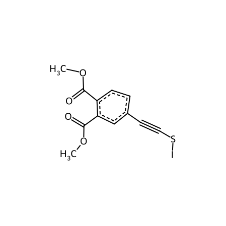 COC(=O)c1ccc(C#CSI)cc1C(=O)OC